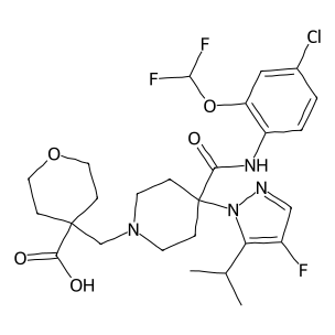 CC(C)c1c(F)cnn1C1(C(=O)Nc2ccc(Cl)cc2OC(F)F)CCN(CC2(C(=O)O)CCOCC2)CC1